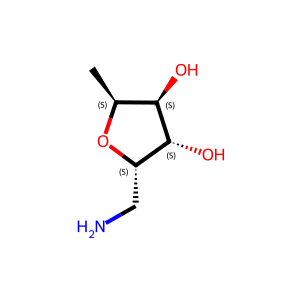 C[C@@H]1O[C@@H](CN)[C@@H](O)[C@@H]1O